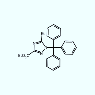 CCOC(=O)c1nc(CC)n(C(c2ccccc2)(c2ccccc2)c2ccccc2)n1